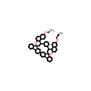 C#CCOc1ccc2c3c(ccc2c1)OC1(C=C3c2cccc(C3=CC4(Oc5ccc6cc(OCC)ccc6c53)c3ccccc3-c3ccccc34)c2)c2ccccc2-c2ccccc21